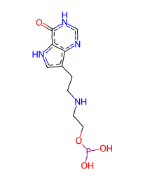 O=c1[nH]cnc2c(CCNCCOP(O)O)c[nH]c12